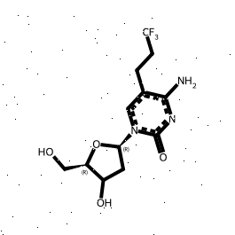 Nc1nc(=O)n([C@H]2CC(O)[C@@H](CO)O2)cc1CCC(F)(F)F